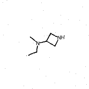 [CH2]CN(C)C1CNC1